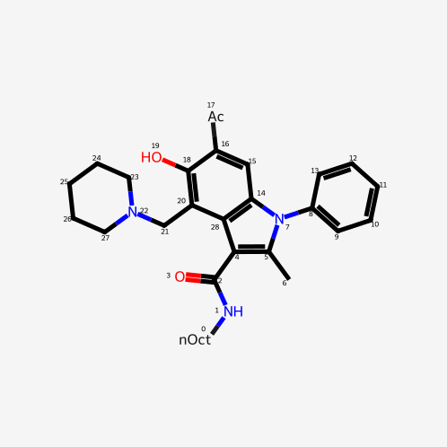 CCCCCCCCNC(=O)c1c(C)n(-c2ccccc2)c2cc(C(C)=O)c(O)c(CN3CCCCC3)c12